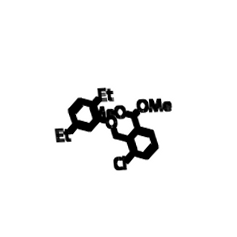 CCc1ccc(CC)c(OCc2c(Cl)cccc2C(OC)OC)c1